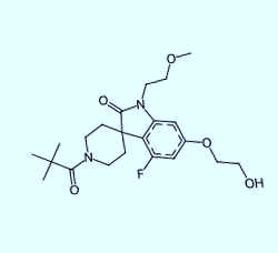 COCCN1C(=O)C2(CCN(C(=O)C(C)(C)C)CC2)c2c(F)cc(OCCO)cc21